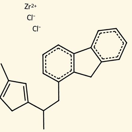 CC1=CCC(C(C)Cc2cccc3c2Cc2ccccc2-3)=C1.[Cl-].[Cl-].[Zr+2]